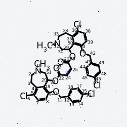 CN1CCc2c(Cl)ccc(OCc3ccc(Cl)cc3)c2C(OC(=O)/C=C\C(=O)OC2CN(C)CCc3c(Cl)ccc(OCc4ccc(Cl)cc4)c32)C1